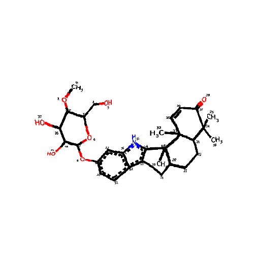 COC1C(CO)OC(Oc2ccc3c4c([nH]c3c2)C2(C)C(CCC3C(C)(C)C(=O)C=CC32C)C4)C(O)C1O